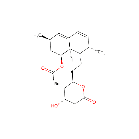 CCC(C)C(=O)O[C@H]1C[C@@H](C)C=C2C=C[C@H](C)[C@H](CC[C@@H]3C[C@@H](O)CC(=O)O3)[C@H]21